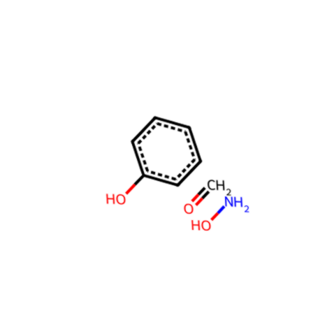 C=O.NO.Oc1ccccc1